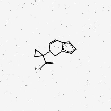 NC(=O)C1(N2C=Cc3cccn3C2)CC1